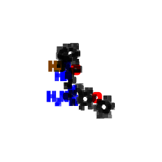 NC1=Nc2ccc(Oc3ccccc3)cc2CN1CCNC(=O)N(S)C12CC3CC(CC(C3)C1)C2